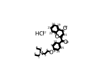 CCN(CC)CCOc1ccc(C(=O)c2cc(=O)c3ccccc3o2)cc1.Cl